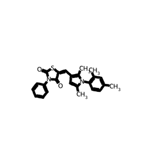 Cc1ccc(-n2c(C)cc(C=C3SC(=O)N(c4ccccc4)C3=O)c2C)c(C)c1